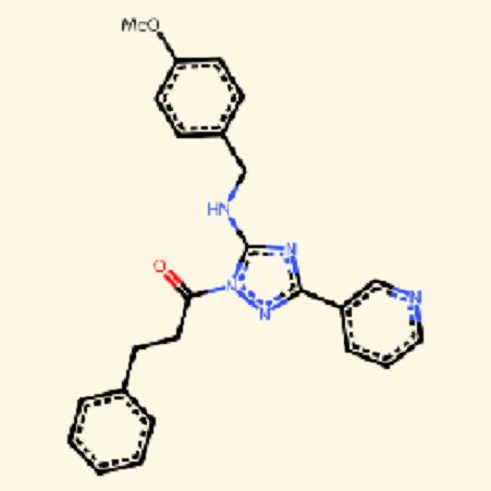 COc1ccc(CNc2nc(-c3cccnc3)nn2C(=O)CCc2ccccc2)cc1